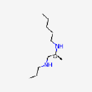 CCCCCN[C@@H](C)CNCCC